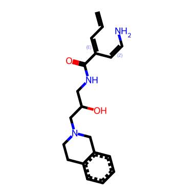 C=C/C=C(\C=C/N)C(=O)NCC(O)CN1CCc2ccccc2C1